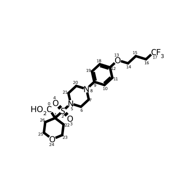 O=C(O)C1(S(=O)(=O)N2CCN(c3ccc(OCCCC(F)(F)F)cc3)CC2)CCOCC1